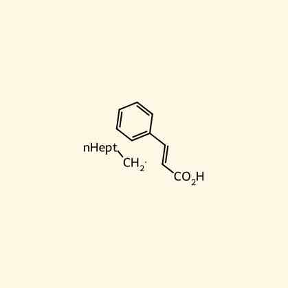 O=C(O)C=Cc1ccccc1.[CH2]CCCCCCC